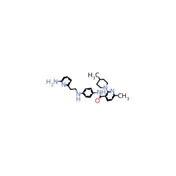 Cc1ccc(C(=O)Nc2ccc(NCCc3cccc(N)n3)cc2)c(N2CCC(C)CC2)n1